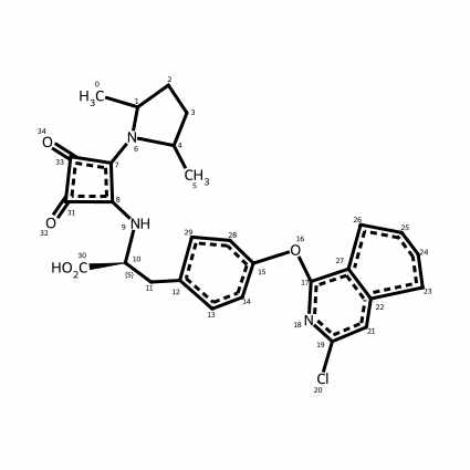 CC1CCC(C)N1c1c(N[C@@H](Cc2ccc(Oc3nc(Cl)cc4ccccc34)cc2)C(=O)O)c(=O)c1=O